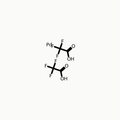 O=C(O)C(F)(F)F.O=C(O)C(F)(F)F.[Pd]